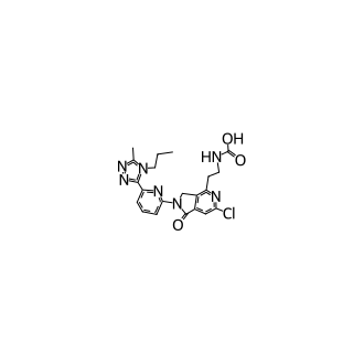 CCCn1c(C)nnc1-c1cccc(N2Cc3c(cc(Cl)nc3CCNC(=O)O)C2=O)n1